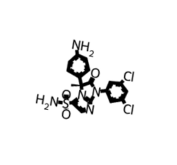 C[C@@]1(c2ccc(N)cc2)C(=O)N(c2cc(Cl)cc(Cl)c2)c2ncc(S(N)(=O)=O)n21